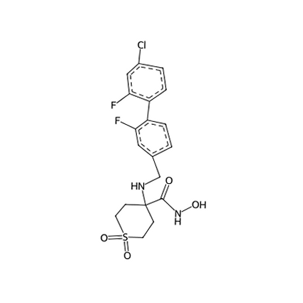 O=C(NO)C1(NCc2ccc(-c3ccc(Cl)cc3F)c(F)c2)CCS(=O)(=O)CC1